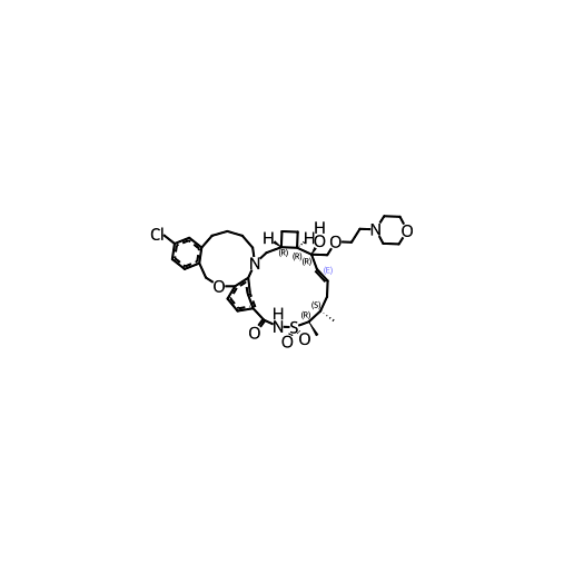 C[C@@H]1[C@@H](C)C/C=C/[C@@](O)(COCCN2CCOCC2)[C@@H]2CC[C@H]2CN2CCCCc3cc(Cl)ccc3COc3ccc(cc32)C(=O)NS1(=O)=O